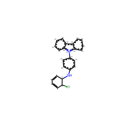 ClC1C=CC=CC1Nc1ccc(-n2c3ccccc3c3ccccc32)cc1